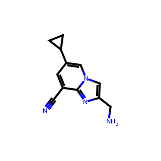 N#Cc1cc(C2CC2)cn2cc(CN)nc12